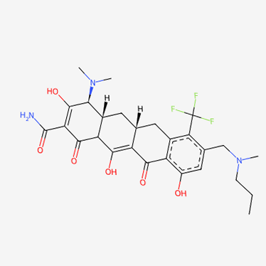 CCCN(C)Cc1cc(O)c2c(c1C(F)(F)F)C[C@H]1C[C@@H]3C(C(=O)C(C(N)=O)=C(O)[C@H]3N(C)C)C(O)=C1C2=O